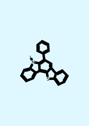 In1c2ccccc2c2c3sc4ccccc4c3cc(-c3ccccc3)c21